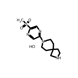 CS(=O)(=O)c1cnc(N2CCC3(CCNC3)CC2)cn1.Cl